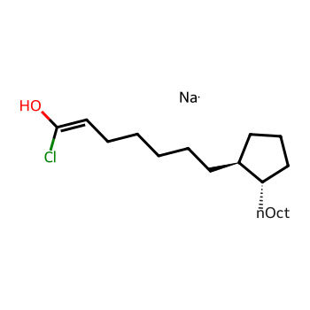 CCCCCCCC[C@H]1CCC[C@@H]1CCCCCC=C(O)Cl.[Na]